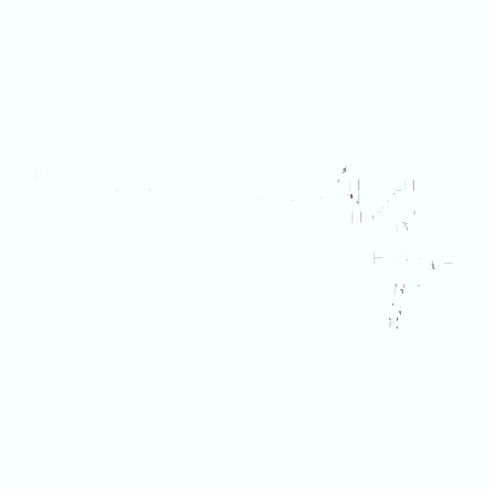 CCCCCCCCCCCCCCCCCC(=O)NCC(C)(C)COCC(C)(C)CN=[N+]=[N-]